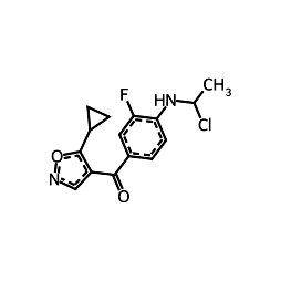 CC(Cl)Nc1ccc(C(=O)c2cnoc2C2CC2)cc1F